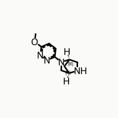 COc1ccc(N2C[C@H]3C[C@@H]2CN3)nn1